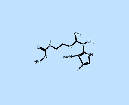 CNc1c(F)c[nH]c1N(C)C(C)OCCNC(=O)OC(C)(C)C